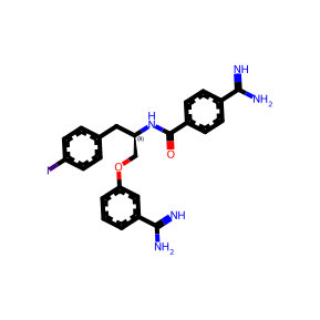 N=C(N)c1ccc(C(=O)N[C@@H](COc2cccc(C(=N)N)c2)Cc2ccc(I)cc2)cc1